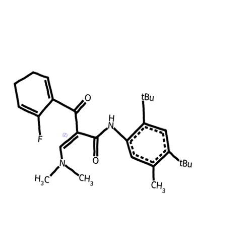 Cc1cc(NC(=O)/C(=C\N(C)C)C(=O)C2=CCCC=C2F)c(C(C)(C)C)cc1C(C)(C)C